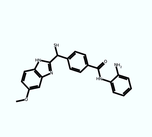 COc1ccc2[nH]c(C(S)c3ccc(C(=O)Nc4ccccc4N)cc3)nc2c1